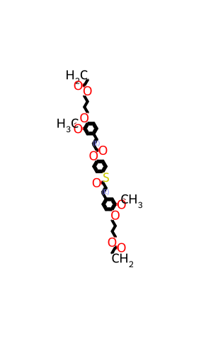 C=CC(=O)OCCCCOc1ccc(/C=C/C(=O)Oc2ccc(SC(=O)/C=C/c3ccc(OCCCCOC(=O)C=C)c(OC)c3)cc2)cc1OC